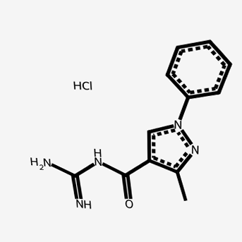 Cc1nn(-c2ccccc2)cc1C(=O)NC(=N)N.Cl